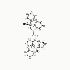 CC(C)(C)[Si](OCCC[C@@H](c1cccs1)c1cccn1S(=O)(=O)c1ccccc1)(c1ccccc1)c1ccccc1